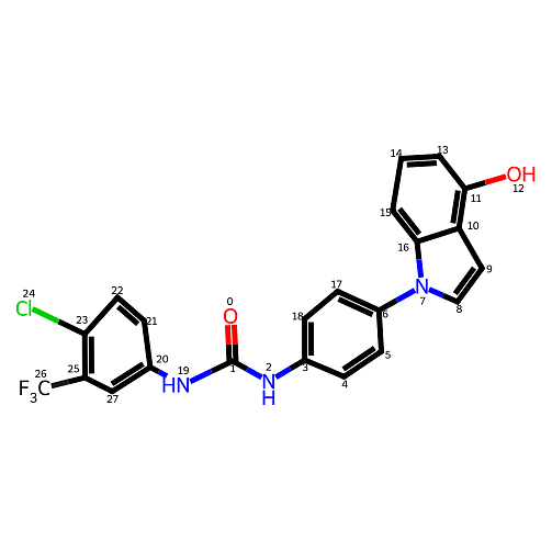 O=C(Nc1ccc(-n2ccc3c(O)cccc32)cc1)Nc1ccc(Cl)c(C(F)(F)F)c1